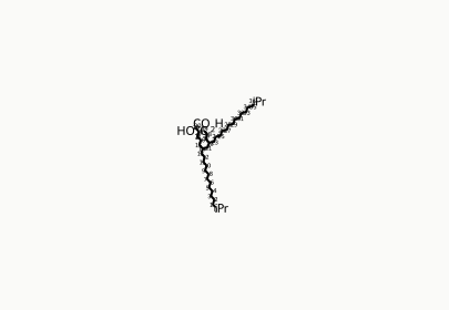 CC(C)CCCCCCCCCCCCCC(CCCCCC(=O)O)CC(CCCCCCCCCCCCCC(C)C)CCC(=O)O